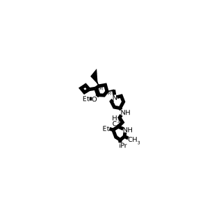 CCOC1=C(C2CCC2)[C@@H](C2CC2)C[C@@H](CN2CCC(NCCC3(C)NC(C)C(C(C)C)CC3CC)CC2)C1